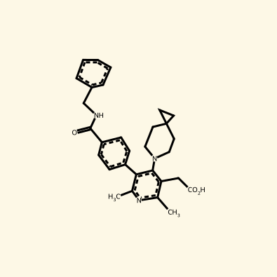 Cc1nc(C)c(-c2ccc(C(=O)NCc3ccccc3)cc2)c(N2CCC3(CC2)CC3)c1CC(=O)O